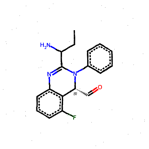 CCC(N)C1=Nc2cccc(F)c2[C@@H](C=O)N1c1ccccc1